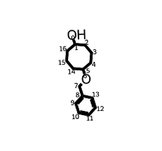 OC1CCCC(OCc2ccccc2)CCC1